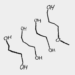 COCCO.OCCO.OCCO.OCCO